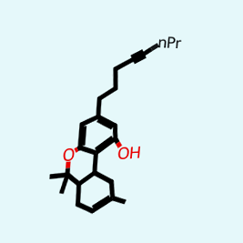 CCCC#CCCCc1cc(O)c2c(c1)OC(C)(C)C1CC=C(C)CC21